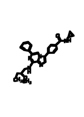 CCC(CNc1nc(-c2ccccc2)cn2c(-c3ccc(C(=O)NC4CC4)cc3)cnc12)OC